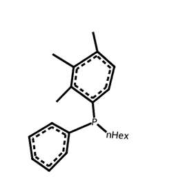 CCCCCCP(c1ccccc1)c1ccc(C)c(C)c1C